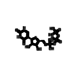 O=c1[nH]cc([C@@H]2S[C@H](COP(=O)(O)OP(=O)(O)OP(=O)(O)O)[C@@H](O)[C@H]2O)c(=O)[nH]1